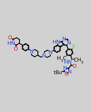 Cc1cc(-c2ncnc3[nH]c4cc(N5CCN(CC6CCN(c7ccc(C8CCC(=O)NC8=O)cc7)CC6)CC5)ccc4c23)c(F)cc1[C@@H](C)NC(=O)c1noc(C(C)(C)C)n1